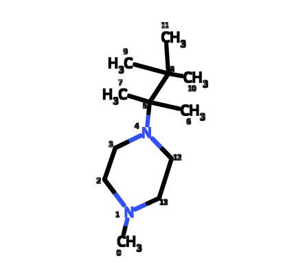 CN1CCN(C(C)(C)C(C)(C)C)CC1